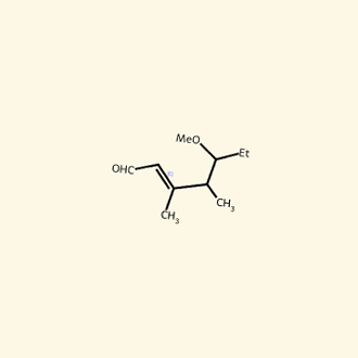 CCC(OC)C(C)/C(C)=C/C=O